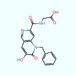 O=C(O)CNC(=O)c1cc2c(cn1)cc(O)c(=O)n2Cc1ccccc1